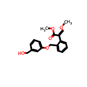 COC=C(C(=O)OC)c1ccccc1COc1cccc(CO)c1